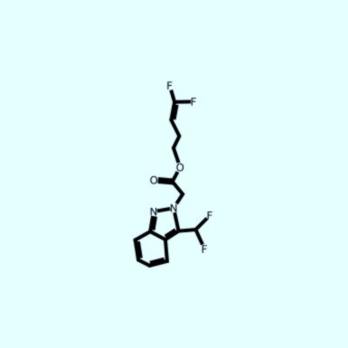 O=C(Cn1nc2ccccc2c1C(F)F)OCCC=C(F)F